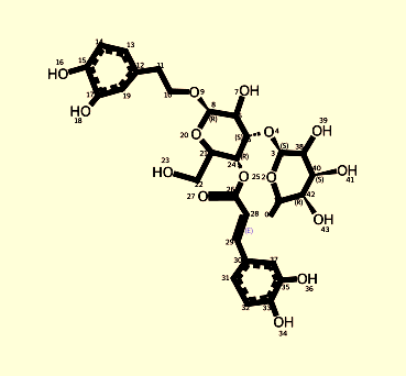 CC1O[C@@H](O[C@H]2C(O)[C@H](OCCc3ccc(O)c(O)c3)OC(CO)[C@H]2OC(=O)/C=C/c2ccc(O)c(O)c2)C(O)[C@@H](O)[C@H]1O